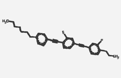 CCCCCCCc1ccc(C#Cc2ccc(C#Cc3ccc(CCC)c(F)c3)cc2F)cc1